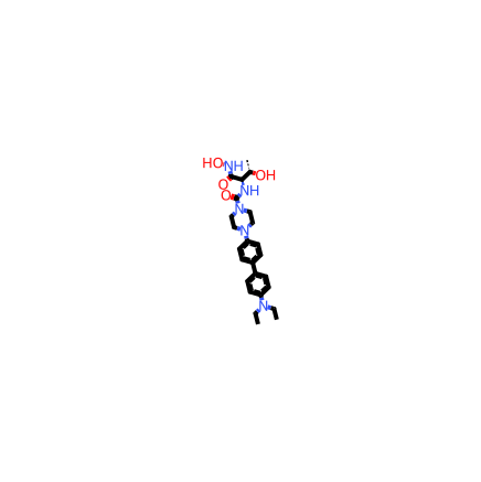 CCN(CC)c1ccc(-c2ccc(N3CCN(C(=O)N[C@@H](C(=O)NO)[C@H](C)O)CC3)cc2)cc1